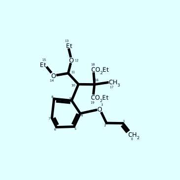 C=CCOc1ccccc1C(C(OCC)OCC)C(C)(C(=O)OCC)C(=O)OCC